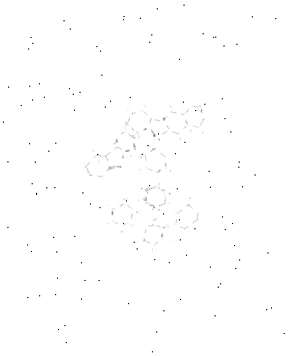 c1ccc(-c2nc(-c3ccc(-n4c5ccccc5c5cc6ccccc6cc54)c(-c4cccc5c4sc4ccccc45)c3)nc(-c3ccccc3-c3ccccc3)n2)cc1